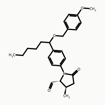 CCCCCC(OCc1ccc(OC)cc1)c1ccc(N2C(=O)C[C@@H](C)[C@@H]2C=O)cc1